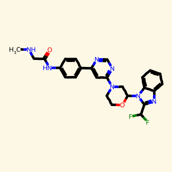 CNCC(=O)Nc1ccc(-c2cc(N3CCOC(n4c(C(F)F)nc5ccccc54)C3)ncn2)cc1